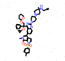 C#CCNC1(C)CCN(C2CCN(c3nc(C(COC4CCCCO4)(OC4CC4)c4ccccc4)c4cc(-c5cn(C)c(=O)c6c5ccn6S(=O)(=O)c5ccc(C)cc5)ccc4n3)CC2)CC1